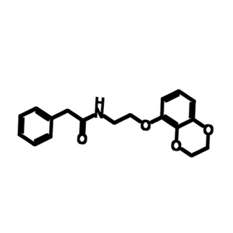 O=C(Cc1ccccc1)NCCOc1cccc2c1OCCO2